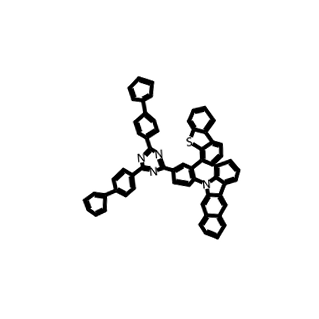 c1ccc(-c2ccc(-c3nc(-c4ccc(-c5ccccc5)cc4)nc(-c4ccc(-n5c6ccccc6c6cc7ccccc7cc65)c(-c5cccc6c5sc5ccccc56)c4)n3)cc2)cc1